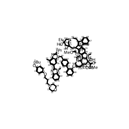 CCCCOc1ccc(OCCCN2CCOCC2)cc1.CCCc1nc2c(C)cc(-c3nc4ccccc4n3C)cc2n1Cc1ccc(-c2ccccc2C(=O)O)cc1.CC[C@]1(O)C[C@@H]2C[N@@](CCc3c([nH]c4ccccc34)[C@@](C(=O)OC)(c3cc4c(cc3OC)N(C)[C@H]3[C@@](O)(C(=O)OC)[C@H](OC(C)=O)[C@]5(CC)C=CCN6CC[C@]43[C@@H]65)C2)C1